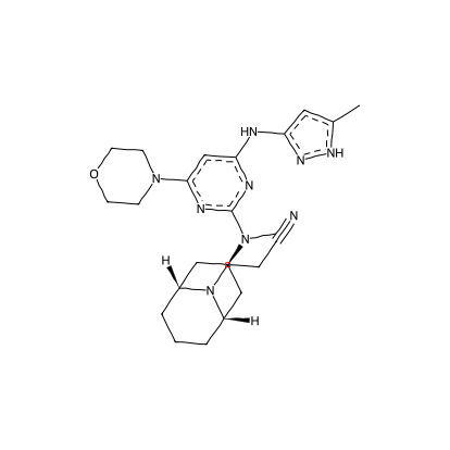 Cc1cc(Nc2cc(N3CCOCC3)nc(N(C)[C@@H]3C[C@H]4CCC[C@@H](C3)N4CCC#N)n2)n[nH]1